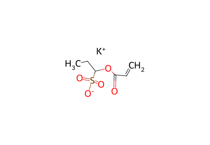 C=CC(=O)OC(CC)S(=O)(=O)[O-].[K+]